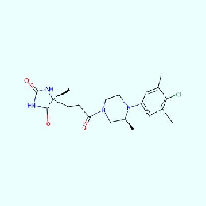 Cc1cc(N2CCN(C(=O)CC[C@@]3(C)NC(=O)NC3=O)C[C@@H]2C)cc(C)c1Cl